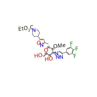 CCOC(=O)N1CCC(c2cc(C[C@H]3O[C@H](CO)[C@H](O)[C@H](n4cc(-c5cc(F)c(F)c(F)c5)nn4)[C@H]3OC)no2)CC1